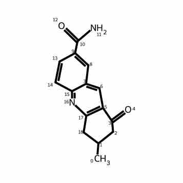 CC1CC(=O)c2cc3cc(C(N)=O)ccc3nc2C1